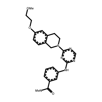 CNC(=O)c1cccc(Nc2ncnc(N3CCc4cc(OCCOC)ccc4C3)n2)c1